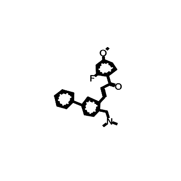 COc1ccc(C(=O)C=Cc2cc(-c3ccccc3)ccc2CN(C)C)c(F)c1